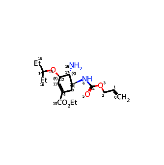 C=CCOC(=O)N[C@H]1CC(C(=O)OCC)=C[C@@H](OC(CC)CC)[C@@H]1N